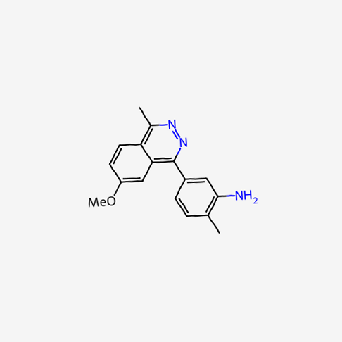 COc1ccc2c(C)nnc(-c3ccc(C)c(N)c3)c2c1